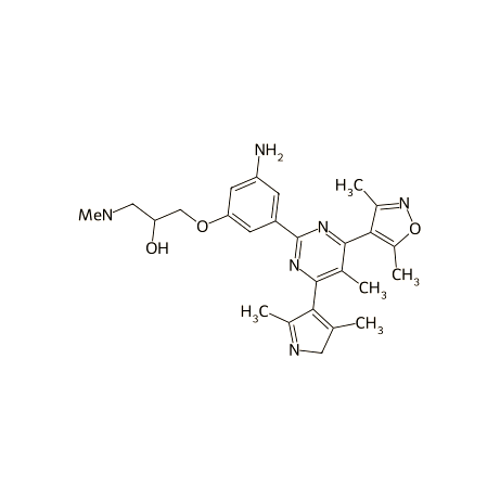 CNCC(O)COc1cc(N)cc(-c2nc(C3=C(C)CN=C3C)c(C)c(-c3c(C)noc3C)n2)c1